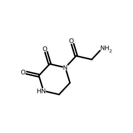 NCC(=O)N1CCNC(=O)C1=O